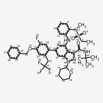 CCS(=O)(=O)N(C)c1ccccc1Nc1nc(-c2cc(F)c(OCc3ccccc3)cc2CC(F)(F)F)cc2c1c(C(=O)NC(C)(C)C)nn2C1CCCCO1